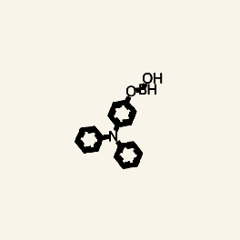 OBOc1ccc(N(c2ccccc2)c2ccccc2)cc1